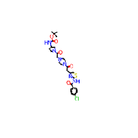 CC(C)(C)OC(=O)NC1CCN(C(=O)CN2CCN(C(=O)Cc3csc(NC(=O)c4ccc(Cl)cc4)n3)CC2)C1